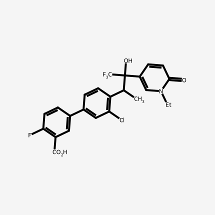 CCn1cc(C(O)(C(C)c2ccc(-c3ccc(F)c(C(=O)O)c3)cc2Cl)C(F)(F)F)ccc1=O